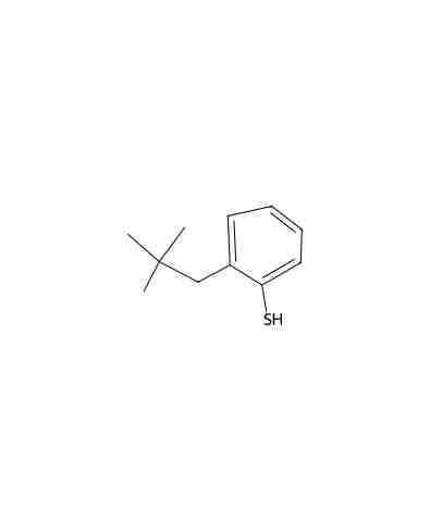 CC(C)(C)Cc1ccccc1S